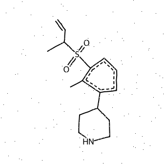 C=CC(C)S(=O)(=O)c1cccc(C2CCNCC2)c1C